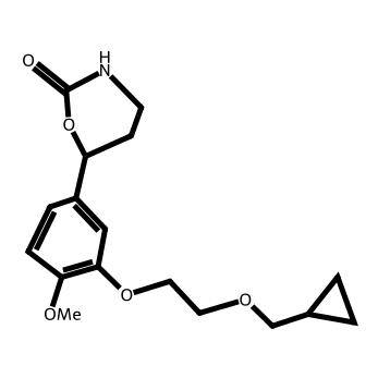 COc1ccc(C2CCNC(=O)O2)cc1OCCOCC1CC1